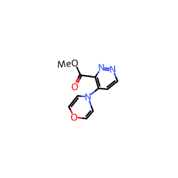 COC(=O)c1nnccc1N1C=COC=C1